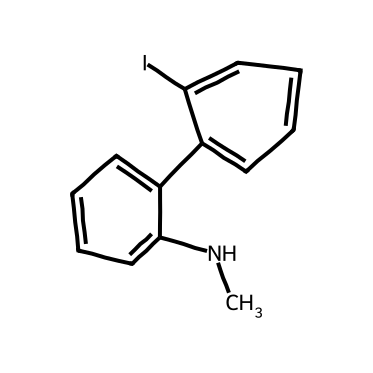 CNc1ccccc1-c1ccccc1I